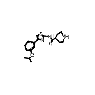 CC(C)Oc1cccc(-c2csc(NC(=O)C3CCNCC3)n2)c1